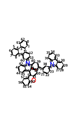 c1ccc(-c2ccccc2-c2cccc(N(c3ccc(-c4cccc(-n5c6ccccc6c6ccccc65)c4)cc3)c3ccccc3-c3cccc4oc5ccccc5c34)c2)cc1